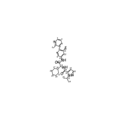 Cc1ncccc1-c1ccc(NC(=O)C(NC(=O)c2ccnn2C(C)C)C2CCCCC2)cc1F